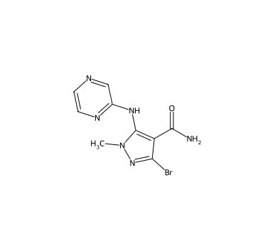 Cn1nc(Br)c(C(N)=O)c1Nc1cnccn1